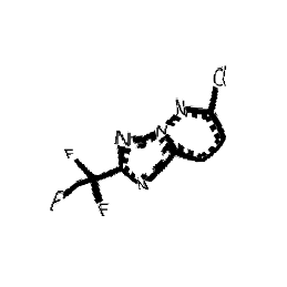 FC(F)(F)c1nc2ccc(Cl)nn2n1